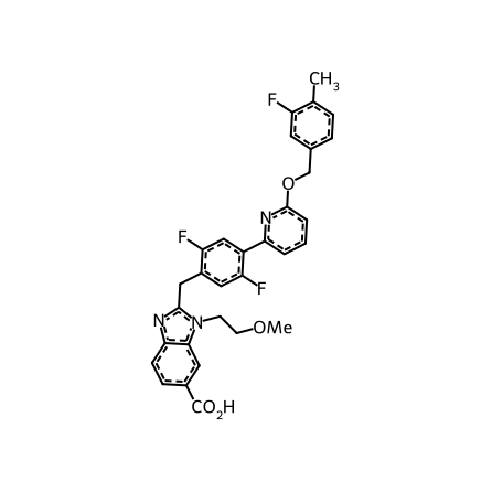 COCCn1c(Cc2cc(F)c(-c3cccc(OCc4ccc(C)c(F)c4)n3)cc2F)nc2ccc(C(=O)O)cc21